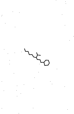 CCCCCCC(CCCC1CCCCC1)C(C)C